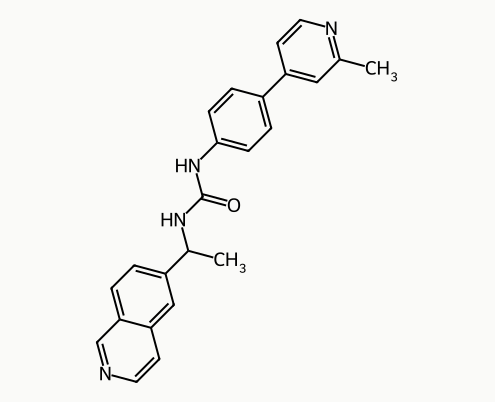 Cc1cc(-c2ccc(NC(=O)NC(C)c3ccc4cnccc4c3)cc2)ccn1